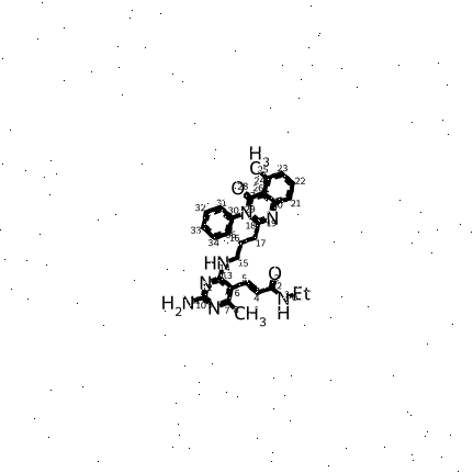 CCNC(=O)/C=C/c1c(C)nc(N)nc1NCCCc1nc2cccc(C)c2c(=O)n1-c1ccccc1